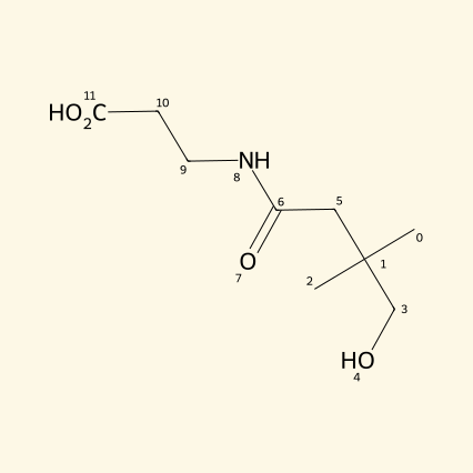 CC(C)(CO)CC(=O)NCCC(=O)O